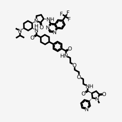 CC(C)N(C)[C@@H]1CC[C@H](N2CC[C@H](Nc3ncnc4ccc(C(F)(F)F)cc34)C2=O)[C@H](NC(=O)C2CCC(c3ccc(C(=O)NCCOCCOCCNC(=O)[C@H]4CC(=O)N(C)[C@@H]4c4cccnc4)cc3)CC2)C1